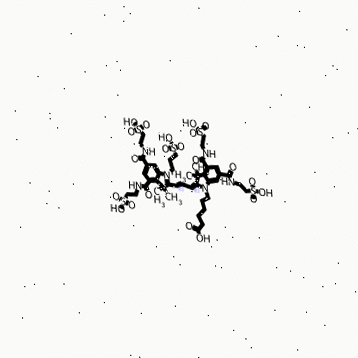 CC1(C)C(/C=C/C=C2/N(CCCCCC(=O)O)c3cc(C(=O)NCCS(=O)(=O)O)cc(C(=O)NCCS(=O)(=O)O)c3C2(C)C)=[N+](CCCS(=O)(=O)O)c2cc(C(=O)NCCS(=O)(=O)O)cc(C(=O)NCCS(=O)(=O)O)c21